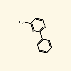 Cc1c[c]nc(-c2ccccc2)n1